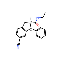 CCNC(=O)[C@]1(C)Cc2ccc(C#N)cc2[C@@H]1c1ccccc1